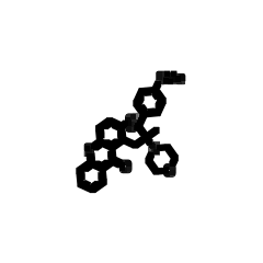 CSc1ccc(C(=O)C(C)(Cc2c(Cl)ccc3sc4ccccc4c(=O)c23)N2CCOCC2)cc1